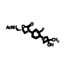 CC(=O)NC[C@H]1CN(c2ccc(N3CC(C)(O)C3)c(F)c2)C(=O)O1